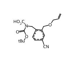 C=CCOCc1cc(C#N)ccc1CN(C(=O)O)C(=O)OC(C)(C)C